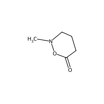 CN1CCCC(=O)O1